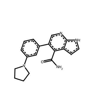 NC(=O)c1c(-c2cccc(N3CCCC3)c2)cnc2[nH]c[c]c12